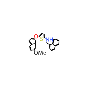 COc1ccc2ccc(Oc3ccc(NCc4cccc5ccccc45)s3)cc2c1